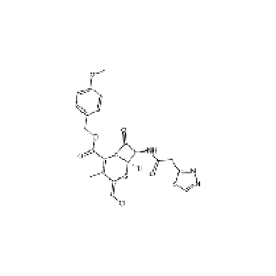 COc1ccc(COC(=O)C2=C(C)/C(=C/Cl)S[C@@H]3C(NC(=O)Cc4nncs4)C(=O)N23)cc1